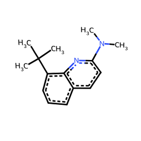 CN(C)c1ccc2cccc(C(C)(C)C)c2n1